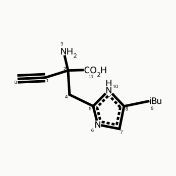 C#CC(N)(Cc1ncc(C(C)CC)[nH]1)C(=O)O